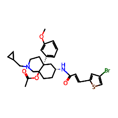 COc1cccc([C@@]23CCN(CC4CC4)C[C@@]2(OC(C)=O)CC[C@@H](NC(=O)/C=C/c2cc(Br)cs2)C3)c1